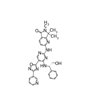 CN1C(=O)c2ccc(Nc3ncc(-c4nc(-c5cccnc5)no4)c(N[C@H](CO)c4ccccc4)n3)nc2C1(C)C